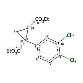 CCOC(=O)[C@H]1C[C@]1(C(=O)OCC)c1ccc(Cl)c(Cl)c1